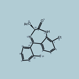 CCc1cccc2c1NC(=O)[C@H](OC(C)=O)N=C2c1ccccc1F